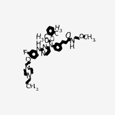 CCCN1CCN(CCOc2ccc(Nc3nccc(N(C(=O)Oc4c(C)cccc4C)c4cccc(CCC(=O)NCCOC)c4)n3)cc2F)CC1